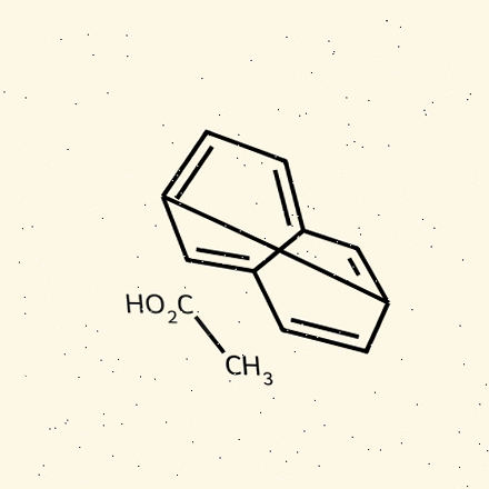 CC(=O)O.c1cc2cc3ccc2cc13